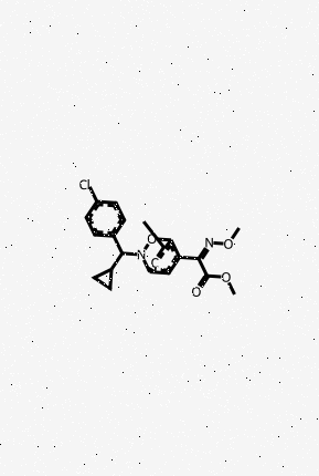 CON=C(C(=O)OC)c1cc2cc(C)c1ON2C(c1ccc(Cl)cc1)C1CC1